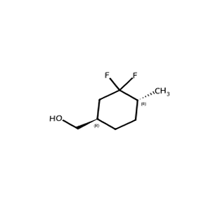 C[C@@H]1CC[C@@H](CO)CC1(F)F